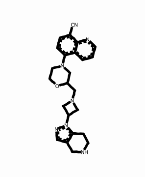 N#Cc1ccc(N2CCOC(CN3CC(n4ncc5c4CCNC5)C3)C2)c2cccnc12